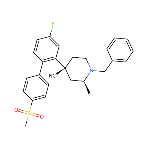 C[C@H]1C[C@](C#N)(c2cc(F)ccc2-c2ccc(S(C)(=O)=O)cc2)CCN1Cc1ccccc1